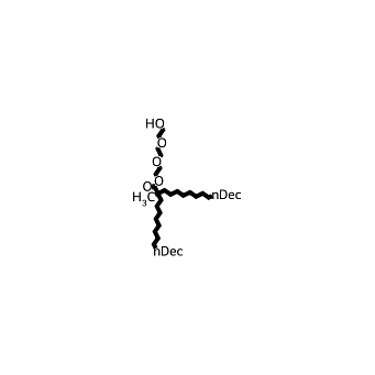 CCCCCCCCCCCCCCCCCCC(C)(CCCCCCCCCCCCCCCCCC)C(=O)OCCOCCOCCO